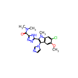 COc1cc2c(-n3ccnc3)c(-c3nnc(C(=O)N(C)C)[nH]3)n(C)c2cc1Cl